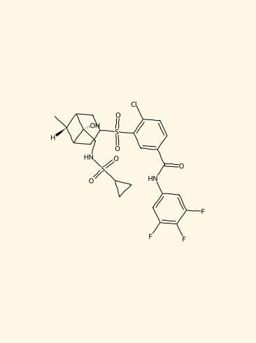 C[C@H]1C2CC(S(=O)(=O)c3cc(C(=O)Nc4cc(F)c(F)c(F)c4)ccc3Cl)CC1[C@@]2(O)CNS(=O)(=O)C1CC1